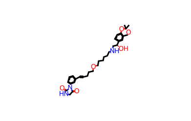 CC1(C)OCc2cc([C@@H](O)CNCCCCCCOCCCC#Cc3cccc(N4C(=O)CNC4=O)c3)ccc2O1